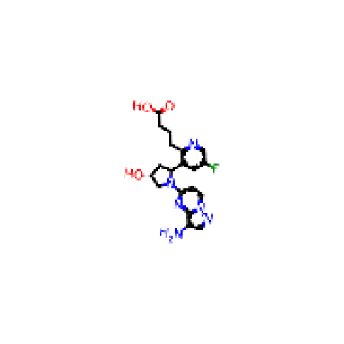 Nc1cnn2ccc(N3C[C@H](O)CC3c3cc(F)cnc3CCCC(=O)O)nc12